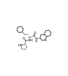 O=C(N[C@H](CCc1ccccc1)C(=O)Nc1cnc2ccccc2c1)C1CCCN1